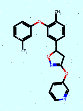 Cc1ccc(C2CC(Oc3cccnc3)=NO2)cc1Oc1cccc(C(F)(F)F)c1